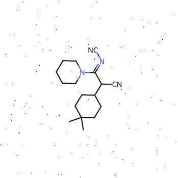 CC1(C)CCC(C(C#N)C(=NC#N)N2CCCCC2)CC1